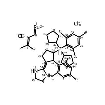 CC(C)=C[CH]=[Ru+2].Cc1cc(C)c(C2C(=C3NCCN3)CCC2[PH](c2c(C)cc(C)cc2C)(C2CCCC2)C2CCCC2)c(C)c1.[Cl-].[Cl-]